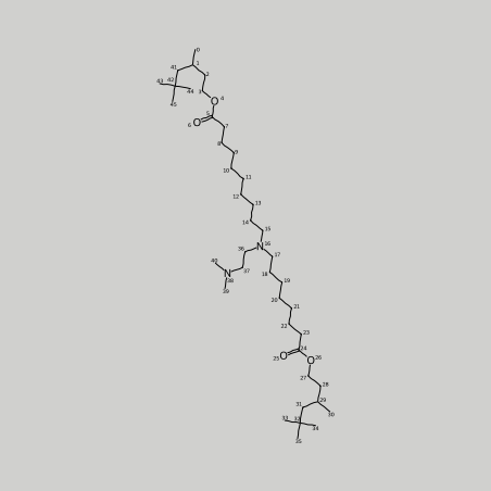 CC(CCOC(=O)CCCCCCCCCN(CCCCCCCC(=O)OCCC(C)CC(C)(C)C)CCN(C)C)CC(C)(C)C